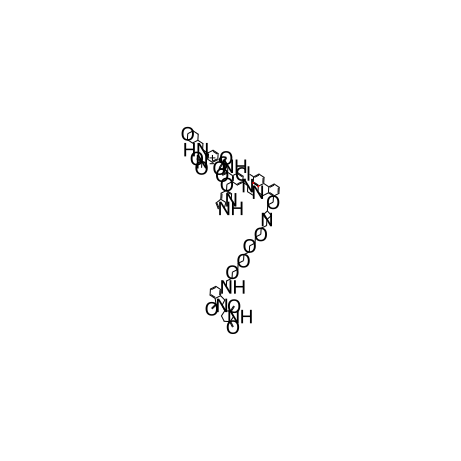 O=C1CCC(N2Cc3c(NCCOCCOCCOCCOCCN4CC(COc5cccc(-c6ccc(Cl)cc6)c5CN5CCN(c6ccc(C(=O)NS(=O)(=O)c7ccc(NCC8CCOCC8)c([N+](=O)[O-])c7)c(Oc7cnc8[nH]ccc8c7)c6)CC5)C4)cccc3C2=O)C(=O)N1